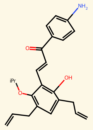 C=CCc1cc(CC=C)c(OC(C)C)c(C=CC(=O)c2ccc(N)cc2)c1O